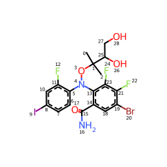 CC(C)(ON(c1ccc(I)cc1F)c1c(C(N)=O)cc(Br)c(F)c1F)C(O)CO